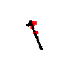 CCCCCCCCCCCCCCCCCC(=O)OCCSCCOC(=O)c1cc(C(C)(C)C)cc(C(C)(C)C)c1O